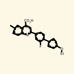 CCOc1ccc(-c2ccc(-c3cc(C(=O)O)c4cc(C)ccc4n3)cc2F)cc1